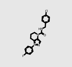 O=C(NCc1ccc(Cl)cc1)N1CCCc2c1cnn2-c1ccc(F)cc1